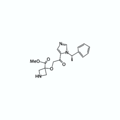 COC(=O)C1(OCC(=O)c2cncn2[C@H](C)c2ccccc2)CNC1